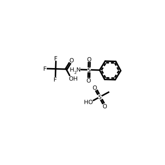 CS(=O)(=O)O.NS(=O)(=O)c1ccccc1.O=C(O)C(F)(F)F